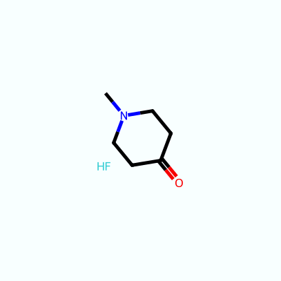 CN1CCC(=O)CC1.F